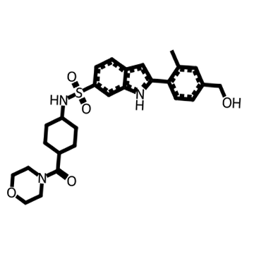 Cc1cc(CO)ccc1-c1cc2ccc(S(=O)(=O)NC3CCC(C(=O)N4CCOCC4)CC3)cc2[nH]1